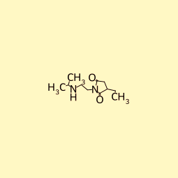 CCC1CC(=O)N(CCNC(C)C)C1=O